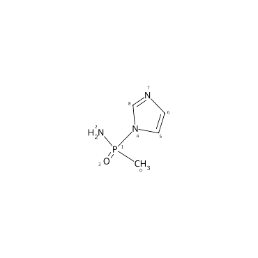 CP(N)(=O)n1ccnc1